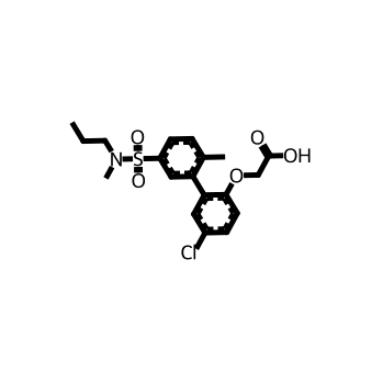 CCCN(C)S(=O)(=O)c1ccc(C)c(-c2cc(Cl)ccc2OCC(=O)O)c1